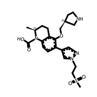 C[C@H]1CCc2c(ccc(-c3cnn(CCS(C)(=O)=O)c3)c2OC[C@H]2CCNC2)N1C(=O)O